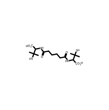 CC(C)(S)C(NC(=O)CCCCC(=O)NC(C(=O)O)C(C)(C)S)C(=O)O